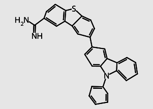 N=C(N)c1ccc2sc3ccc(-c4ccc5c(c4)c4ccccc4n5-c4ccccc4)cc3c2c1